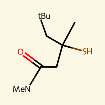 CNC(=O)CC(C)(S)CC(C)(C)C